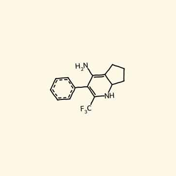 NC1=C2CCCC2NC(C(F)(F)F)=C1c1ccccc1